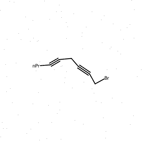 CCCC#CCC#CCBr